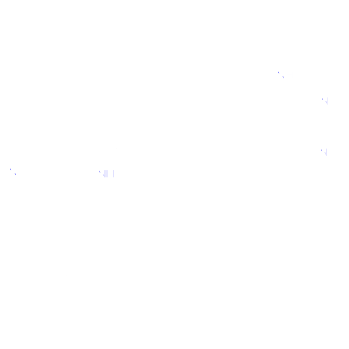 COc1ccc2nc(C)cc(Nc3ccc(Cc4ccc(Nc5ccncn5)cc4)cc3)c2c1